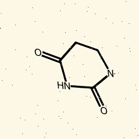 O=C1CC[N]C(=O)N1